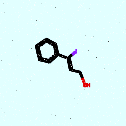 OCC=C(I)c1ccccc1